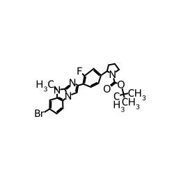 Cn1c2cc(Br)ccc2n2cc(-c3ccc(C4CCCN4C(=O)OC(C)(C)C)cc3F)nc12